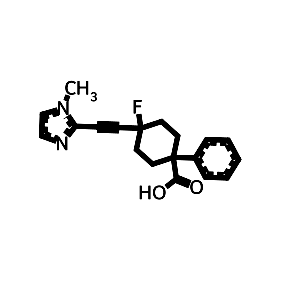 Cn1ccnc1C#CC1(F)CCC(C(=O)O)(c2ccccc2)CC1